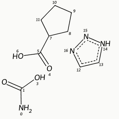 NC(=O)O.O=C(O)C1CCCC1.c1c[nH]nn1